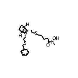 CN(O)C(=O)CCCCSCC[C@@H]1[C@H](CCSCc2ccccc2)[C@@H]2CC[C@H]1O2